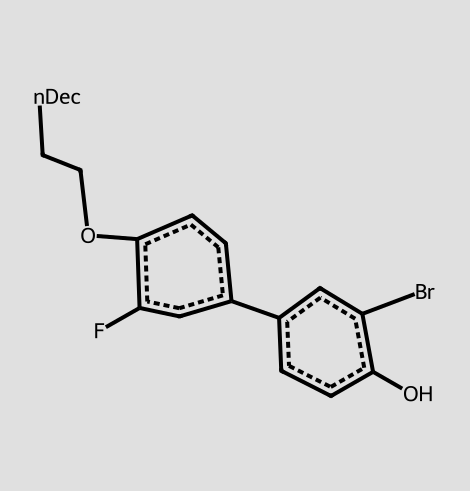 CCCCCCCCCCCCOc1ccc(-c2ccc(O)c(Br)c2)cc1F